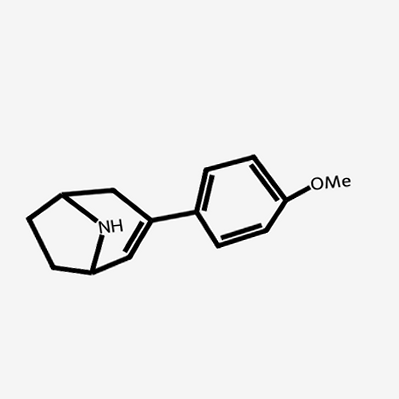 COc1ccc(C2=CC3CCC(C2)N3)cc1